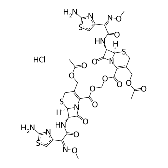 CO/N=C(\C(=O)N[C@@H]1C(=O)N2C(C(=O)OCOC(=O)C3=C(COC(C)=O)CS[C@@H]4[C@H](NC(=O)/C(=N\OC)c5csc(N)n5)C(=O)N34)=C(COC(C)=O)CS[C@H]12)c1csc(N)n1.Cl